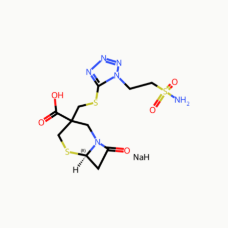 NS(=O)(=O)CCn1nnnc1SCC1(C(=O)O)CS[C@@H]2CC(=O)N2C1.[NaH]